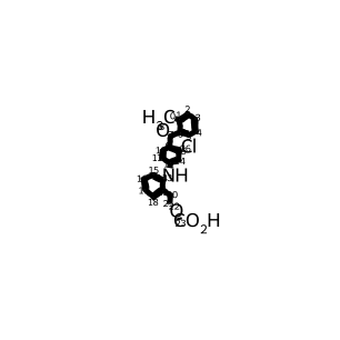 Cc1ccccc1C(=O)c1ccc(Nc2ccccc2CCOC(=O)O)cc1Cl